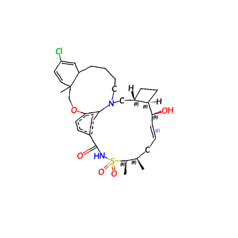 C[C@@H]1C/C=C/[C@H](O)[C@@H]2CC[C@H]2CN2CCCCC3C=C(Cl)C=CC3(C)COc3ccc(cc32)C(=O)NS(=O)(=O)[C@@H]1C